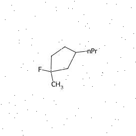 CCCC1CCC(C)(F)C1